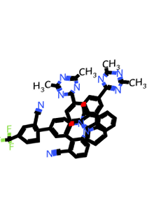 Cc1nc(C)nc(-c2ccc3c(c2)c2ccccc2n3-c2ccc(-c3ccc(C(F)(F)F)cc3C#N)cc2-c2c(C#N)cccc2-n2c3ccccc3c3cc(-c4nc(C)nc(C)n4)ccc32)n1